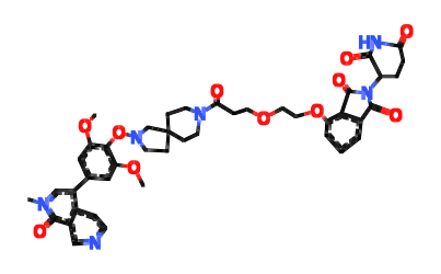 COc1cc(-c2cn(C)c(=O)c3cnccc23)cc(OC)c1ON1CCC2(CCN(C(=O)CCOCCOc3cccc4c3C(=O)N(C3CCC(=O)NC3=O)C4=O)CC2)C1